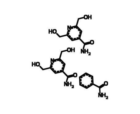 NC(=O)c1cc(CO)nc(CO)c1.NC(=O)c1cc(CO)nc(CO)c1.NC(=O)c1ccccc1